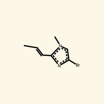 CC=Cc1nc(Br)cn1C